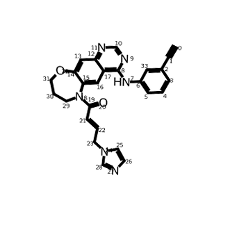 C#Cc1cccc(Nc2ncnc3cc4c(cc23)N(C(=O)/C=C/Cn2ccnc2)CCCO4)c1